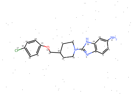 Nc1ccc2nc(N3CCC(COc4ccc(Cl)cc4)CC3)[nH]c2c1